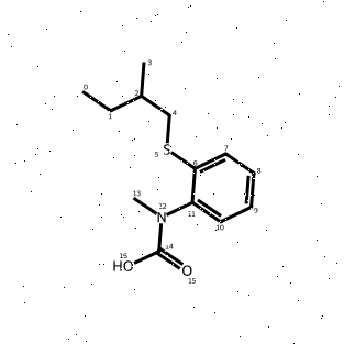 CCC(C)CSc1ccccc1N(C)C(=O)O